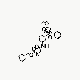 CC(C)OC(=O)CN(c1ccccc1)S(=O)(=O)c1cccc(NC(=O)CN(C)C(=O)OCc2ccccc2)c1